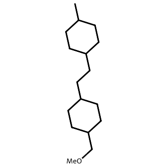 COCC1CCC(CCC2CCC(C)CC2)CC1